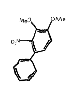 COc1ccc(-c2ccccc2)c([N+](=O)[O-])c1OC